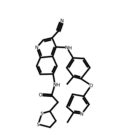 Cc1ccc(Oc2ccc(Nc3c(C#N)cnc4ccc(NC(=O)CC5CCSS5)cc34)cc2C)cn1